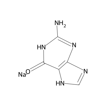 Nc1nc2nc[nH]c2c(=O)[nH]1.[Na]